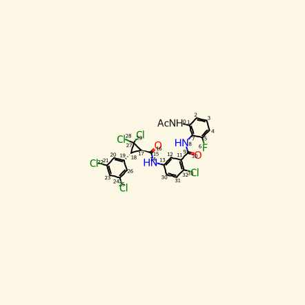 CC(=O)Nc1cccc(F)c1NC(=O)c1cc(NC(=O)[C@H]2[C@H](c3cc(Cl)cc(Cl)c3)C2(Cl)Cl)ccc1Cl